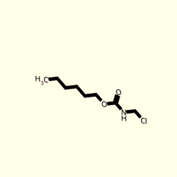 CCCCCCOC(=O)NCCl